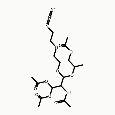 CC(=O)NC(C(OC(C)=O)OC(C)=O)C(OCCOCCN=[N+]=[N-])OC(C)COC(C)=O